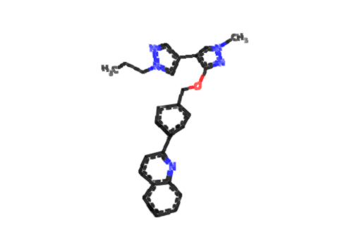 CCCn1cc(-c2cn(C)nc2OCc2ccc(-c3ccc4ccccc4n3)cc2)cn1